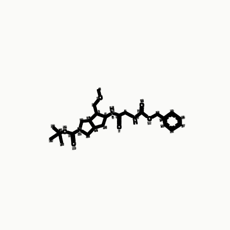 COCC1C(NC(=O)CNC(=O)OCc2ccccc2)CC2CN(C(=O)OC(C)(C)C)CC21